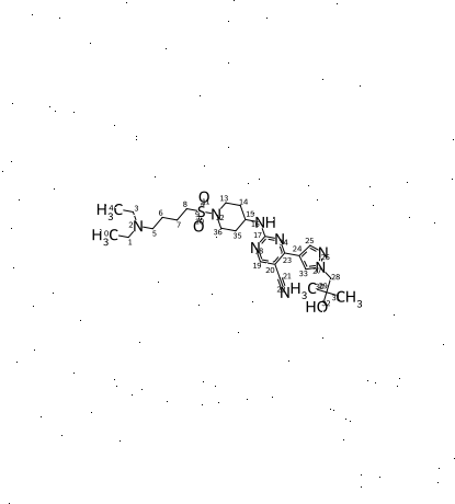 CCN(CC)CCCCS(=O)(=O)N1CCC(Nc2ncc(C#N)c(-c3cnn(CC(C)(C)O)c3)n2)CC1